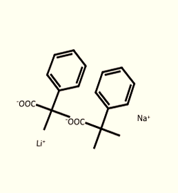 CC(C)(C(=O)[O-])c1ccccc1.CC(C)(C(=O)[O-])c1ccccc1.[Li+].[Na+]